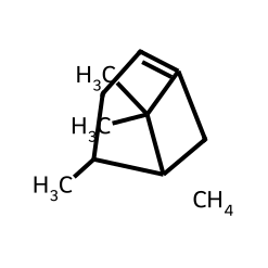 C.CC1CC=C2CC1C2(C)C